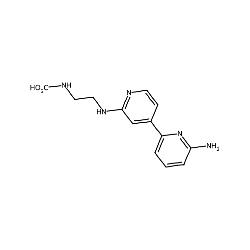 Nc1cccc(-c2ccnc(NCCNC(=O)O)c2)n1